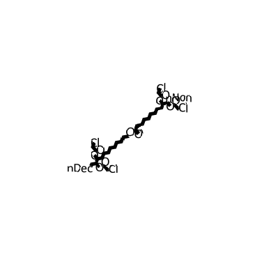 CCCCCCCCCCCC(OC(=O)CCl)C(CCCCCCCCCOC(=O)CCCCCCCCC(OC(=O)CCl)C(CCCCCCCCC)OC(=O)CCl)OC(=O)CCl